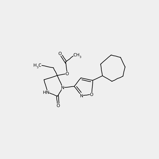 CCC1(OC(C)=O)CNC(=O)N1c1cc(C2CCCCCC2)on1